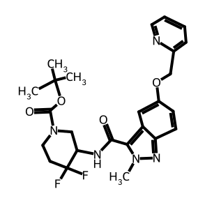 Cn1nc2ccc(OCc3ccccn3)cc2c1C(=O)NC1CN(C(=O)OC(C)(C)C)CCC1(F)F